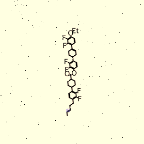 C/C=C/CCc1ccc(C2CCC(C(=O)Oc3ccc(C4CC=C(c5ccc(OCC)c(F)c5F)CC4)c(F)c3F)CC2)c(F)c1F